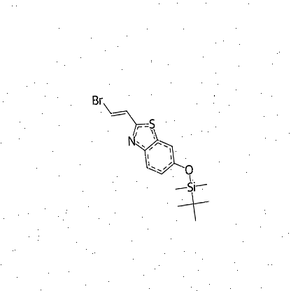 CC(C)(C)[Si](C)(C)Oc1ccc2nc(/C=C/Br)sc2c1